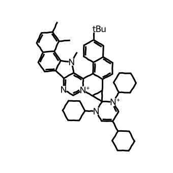 Cc1ccc2ccc3c4nc[n+]5c(c4n(C)c3c2c1C)-c1c(ccc2cc(C(C)(C)C)ccc12)C1C5C12N(C1CCCCC1)C=C(C1CCCCC1)C=[N+]2C1CCCCC1